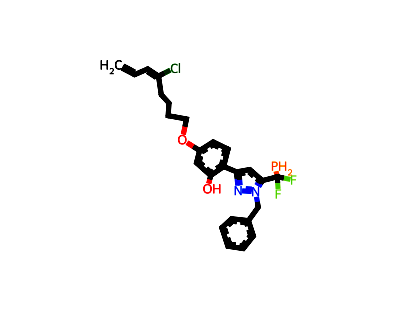 C=C/C=C(/Cl)CCCCOc1ccc(-c2cc(C(F)(F)P)n(Cc3ccccc3)n2)c(O)c1